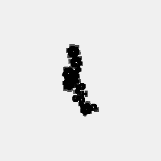 COc1cccc(COC(=O)NCC(=O)NCC(CCCN2CCC(c3ccccc3)CC2)(c2ccccc2)c2ccccc2)c1